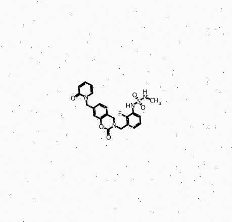 CNS(=O)(=O)Nc1cccc(CN2Cc3ccc(Cn4ccccc4=O)cc3OC2=O)c1F